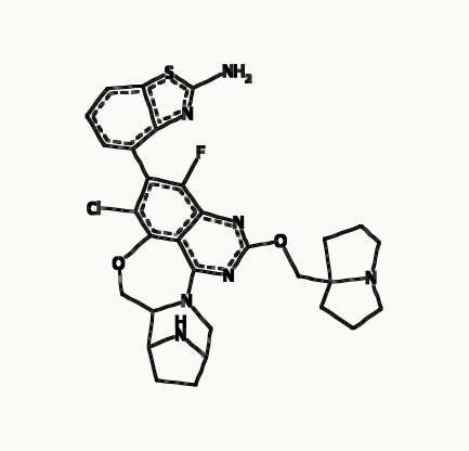 Nc1nc2c(-c3c(Cl)c4c5c(nc(OCC67CCCN6CCC7)nc5c3F)N3CC5CCC(N5)C3CO4)cccc2s1